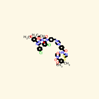 COc1ccc(C2=N[C@@H](c3ccc(Cl)cc3)[C@@H](c3ccc(Cl)cc3)N2C(=O)N2CCN(C3CCC(CN4CCN(c5ccc(C(=O)Nc6ncc(Sc7cc(C(=O)N8CCOCC8)c(OC)cc7C)s6)cc5)CC4)CC3)C(=O)C2)c(OC(C)C)c1